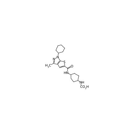 Cc1nn(C2CCCCC2)c2sc(C(=O)NC3CCC(NC(=O)O)CC3)cc12